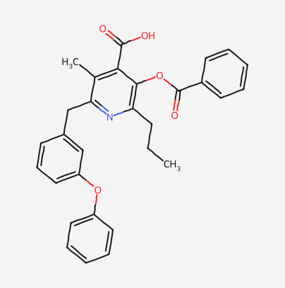 CCCc1nc(Cc2cccc(Oc3ccccc3)c2)c(C)c(C(=O)O)c1OC(=O)c1ccccc1